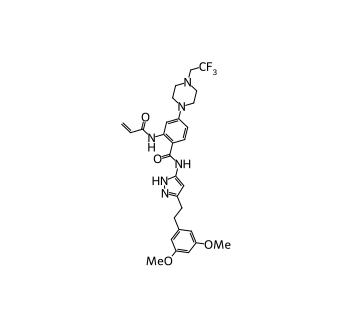 C=CC(=O)Nc1cc(N2CCN(CC(F)(F)F)CC2)ccc1C(=O)Nc1cc(CCc2cc(OC)cc(OC)c2)n[nH]1